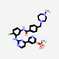 CN1CCCN(Cc2ccc(C(=O)Nc3ccc(F)c(Nc4nccc(-c5cccnc5)n4)c3)cc2)CC1.CS(=O)(=O)O